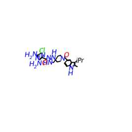 Cc1[nH]c2ccc(C(=O)N3CCC4(CC3)CN/C(=N\C(=O)c3nc(Cl)c(N)nc3N)N4)cc2c1C(C)C